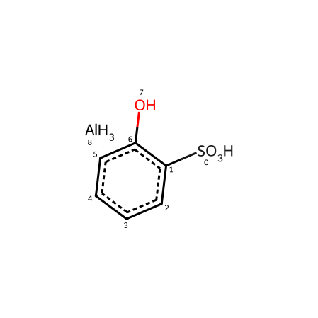 O=S(=O)(O)c1ccccc1O.[AlH3]